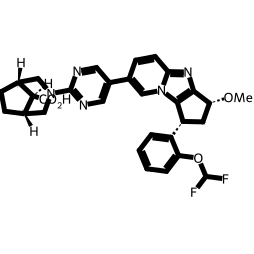 CO[C@@H]1C[C@H](c2ccccc2OC(F)F)c2c1nc1ccc(-c3cnc(N4C[C@H]5CC[C@@H](C4)[C@@H]5C(=O)O)nc3)cn21